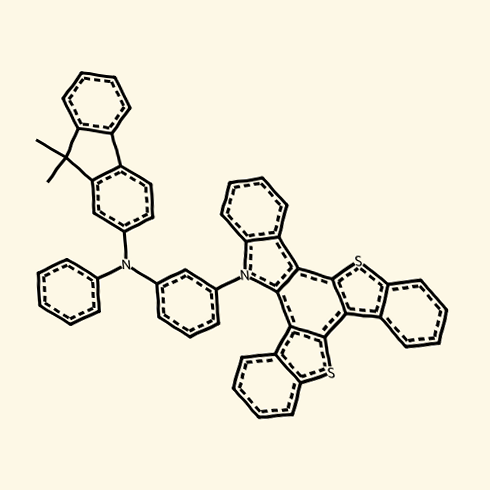 CC1(C)c2ccccc2-c2ccc(N(c3ccccc3)c3cccc(-n4c5ccccc5c5c6sc7ccccc7c6c6sc7ccccc7c6c54)c3)cc21